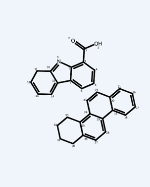 O=C(O)c1cccc2c1N=C1CC=CC=C12.c1ccc2c(c1)ccc1c3c(ccc12)CCCC3